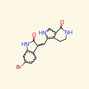 O=C1Nc2cc(Br)ccc2/C1=C/c1[nH]cc2c1CCNC2=O